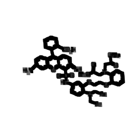 COC(=O)CN(CC(=O)OC)c1ccccc1OCCOc1cc(NS(=O)(=O)c2c3oc4cc(N)ccc4c(-c4ccccc4C(=O)O)c-3ccc2=N)ccc1N(CC(C)=O)CC(C)=O